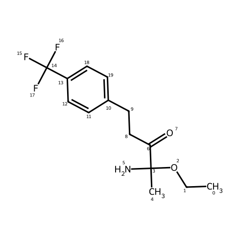 CCOC(C)(N)C(=O)CCc1ccc(C(F)(F)F)cc1